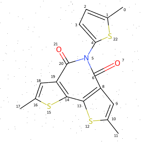 Cc1ccc(-n2c(=O)c3cc(C)sc3c3sc(C)cc3c2=O)s1